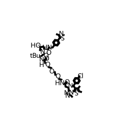 Cc1ncsc1-c1ccc(CNC(=O)[C@@H]2C[C@@H](O)CN2C(=O)[C@@H](NC(=O)COCCOCCOCCNC(=O)CC2N=C(c3ccc(Cl)cc3)c3c(sc(C)c3C)-n3c(C)nnc32)C(C)(C)C)cc1